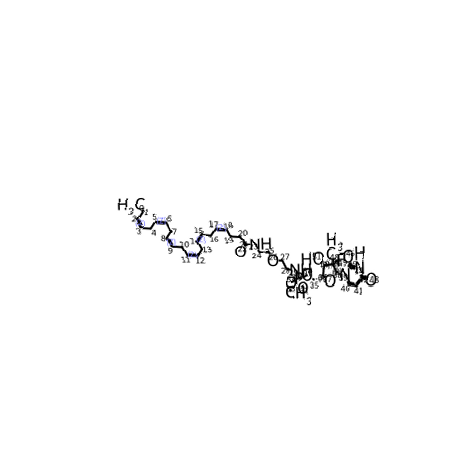 CC/C=C\C/C=C\C/C=C\C/C=C\C/C=C\C/C=C\CCC(=O)NCCOCCNP(=O)(OC)OC[C@H]1O[C@@H](n2ccc(=O)[nH]c2=O)[C@](C)(F)[C@@H]1O